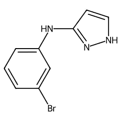 Brc1cccc(Nc2cc[nH]n2)c1